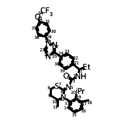 CCC(NC(=O)/N=C1\SCCC(C)N1c1cccc(C)c1C(C)C)c1ccc(-c2ncn(-c3ccc(OC(F)(F)F)cc3)n2)cc1